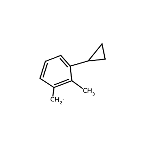 [CH2]c1cccc(C2CC2)c1C